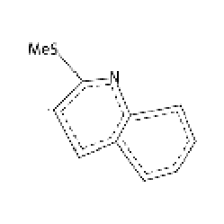 CSc1[c]cc2ccccc2n1